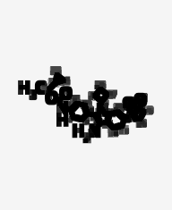 C[C@@H](OC(=O)Nc1ccc(-c2c(N)c3ccc(N4CCS4(=O)=O)cc3n2C2CCC2)cc1)C1CC1